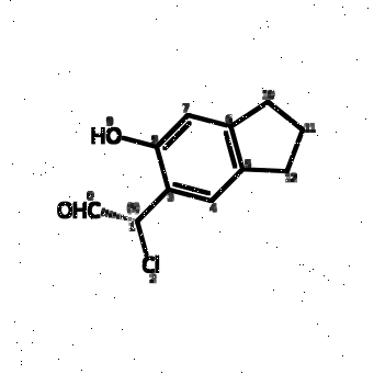 O=C[C@@H](Cl)c1cc2c(cc1O)CCC2